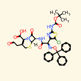 CC(C)(C)OC(=O)Nc1nc(/C(=N\OC(c2ccccc2)(c2ccccc2)c2ccccc2)C(=O)N[C@@H]2C(=O)N3C(C(=O)O)=C(CC=O)CS[C@H]23)c(Cl)s1